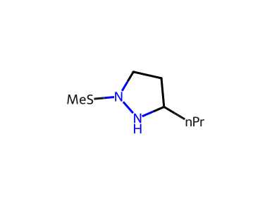 CCCC1CCN(SC)N1